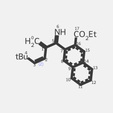 C=C(/C=C\C(C)(C)C)C(=N)c1cc2ccccc2cc1C(=O)OCC